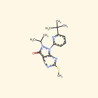 CSc1ncc2c(=O)n(C(C)C)n(-c3cccc(C(C)(C)C)n3)c2n1